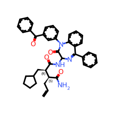 C=CC[C@H](C(N)=O)[C@@H](CC1CCCC1)C(=O)NC1N=C(c2ccccc2)c2ccccc2N(c2cccc(C(=O)c3ccccc3)c2)C1=O